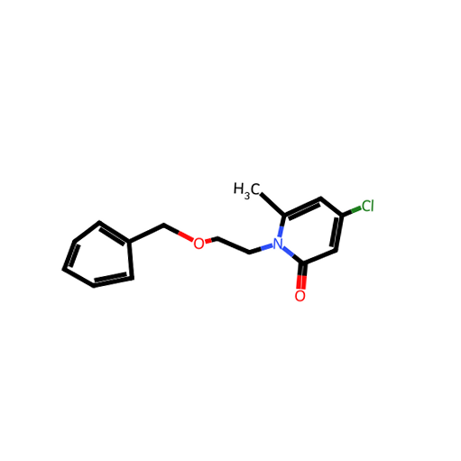 Cc1cc(Cl)cc(=O)n1CCOCc1ccccc1